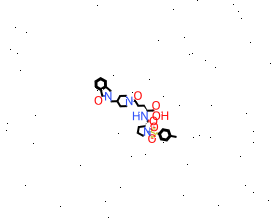 Cc1ccc(S(=O)(=O)N2CCC[C@@H]2C(=O)N[C@@H](CCC(=O)N2CCC(CN3Cc4ccccc4C3=O)CC2)C(=O)O)cc1